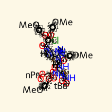 CCCC(=O)OCC[C@H](O/N=C(\C(=O)N[C@@H]1C(=O)N2C(c3nnnn3Cc3ccc(OC)cc3)=C(C[N+]34CCC[C@H]3CN(C(=O)c3cc(Cl)c(OCc5ccc(OC)cc5)c(OCc5ccc(OC)cc5)c3)CC4)CS[C@H]12)c1csc(NC(=O)OC(C)(C)C)n1)C(=O)OCc1ccc(OC)cc1